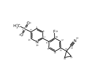 CS(=O)(=O)c1ccc(-c2ccc(C3(C#N)CC3)cc2F)nc1